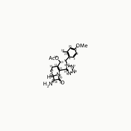 COc1ccc(Cn2nnnc2C2=C(COC(C)=O)CS[C@@H]3[C@H](N)C(=O)N23)c(C)c1